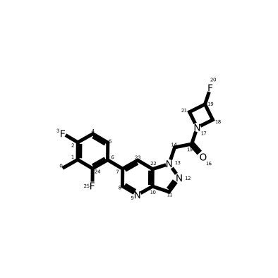 Cc1c(F)ccc(-c2cnc3cnn(CC(=O)N4CC(F)C4)c3c2)c1F